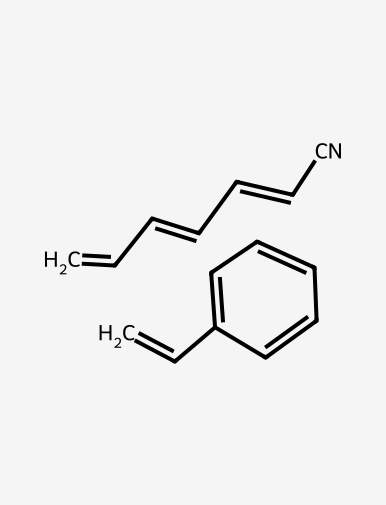 C=CC=CC=CC#N.C=Cc1ccccc1